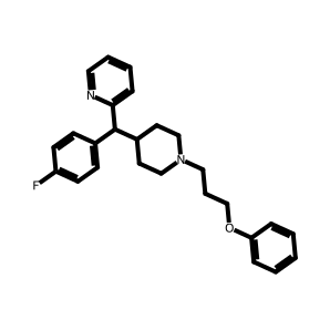 Fc1ccc(C(c2ccccn2)C2CCN(CCCOc3ccccc3)CC2)cc1